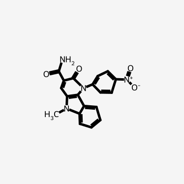 Cn1c2ccccc2c2c1cc(C(N)=O)c(=O)n2-c1ccc([N+](=O)[O-])cc1